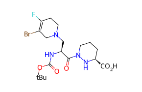 CC(C)(C)OC(=O)N[C@@H](CN1CCC(F)=C(Br)C1)C(=O)N1CCC[C@@H](C(=O)O)N1